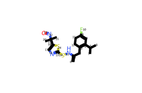 C=C(CC1=C(C(C)C)C=C(F)CC1)NSc1ncc(C(C)(C)N=O)s1